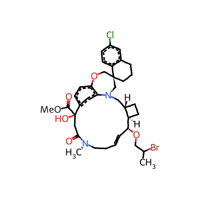 COC(=O)[C@@]1(O)CC(=O)N(C)CC/C=C/[C@H](OCC(C)Br)[C@@H]2CC[C@H]2CN2C[C@@]3(CCCc4cc(Cl)ccc43)COc3ccc1cc32